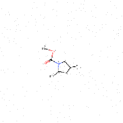 CCCC1C[C@H](C)CN1C(=O)OC(C)(C)C